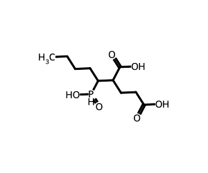 CCCCC(C(CCC(=O)O)C(=O)O)[PH](=O)O